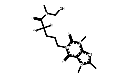 [2H]C([2H])(CCCn1c(=O)c2c(nc(C)n2C)n(C)c1=O)C(=O)N(C)CO